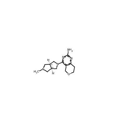 CN1C[C@@H]2CN(c3nc(N)nc4c3COCC4)C[C@@H]2C1